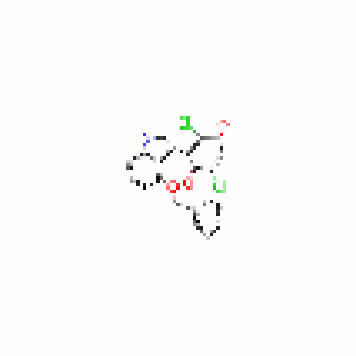 O=C1C=C(Cl)C(=O)C(c2c[nH]c3cccc(OCc4ccccc4)c23)=C1Cl